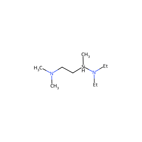 CCN(CC)[SiH](C)CCN(C)C